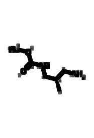 C[C@H](CN)CNC(=O)OC(C)(C)C